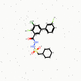 O=C(NNS(=O)(=O)CC1CCCCC1)c1cc(-c2cccc(F)c2)cc(Cl)c1F